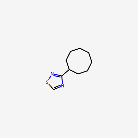 c1nc(C2CCCCCCC2)ns1